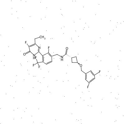 CCc1nc(-c2c(C(F)(F)F)ccc(CNC(=O)[C@H]3C[C@H](OCc4cc(F)cc(F)c4)C3)c2F)[nH]c(=O)c1F